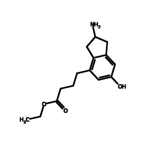 CCOC(=O)CCCc1cc(O)cc2c1CC(N)C2